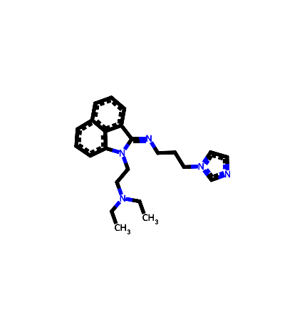 CCN(CC)CCN1C(=NCCCn2ccnc2)c2cccc3cccc1c23